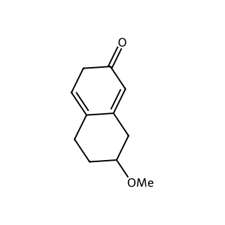 COC1CCC2=CCC(=O)C=C2C1